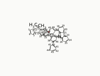 CC1(C)c2ccccc2-c2ccc(-c3ccc(-c4cccc5c6ccccc6n(-c6cc(-c7ccccc7)cc(-c7ccccc7)c6)c45)cc3)cc21